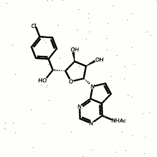 CC(=O)Nc1ncnc2c1ccn2[C@@H]1O[C@H](C(O)c2ccc(Cl)cc2)[C@@H](O)[C@H]1O